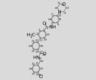 Cc1cc(C(=O)Nc2ccc(N3CCOCC3)cc2)ccc1-c1cccc(C(=O)NCc2cccc(Cl)c2)c1